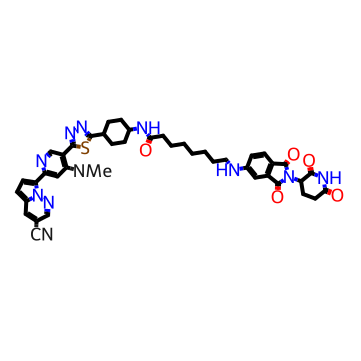 CNc1cc(-c2ccc3cc(C#N)cnn23)ncc1-c1nnc(C2CCC(NC(=O)CCCCCCCNc3ccc4c(c3)C(=O)N(C3CCC(=O)NC3=O)C4=O)CC2)s1